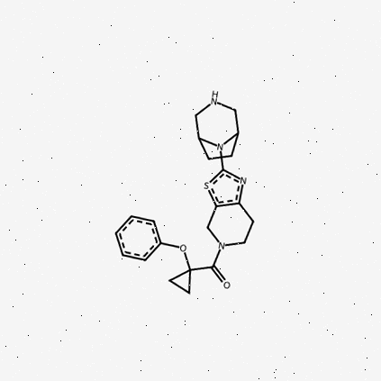 O=C(N1CCc2nc(N3C4CCC3CNC4)sc2C1)C1(Oc2ccccc2)CC1